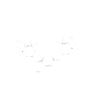 CCC(CC(=O)OC1CC(C)(C)N(N)C(C)(C)C1)C(=O)OC1CC(C)(C)N(O)C(C)(C)C1